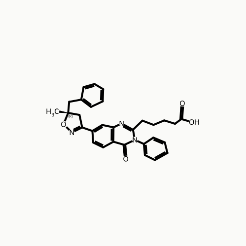 C[C@@]1(Cc2ccccc2)CC(c2ccc3c(=O)n(-c4ccccc4)c(CCCCC(=O)O)nc3c2)=NO1